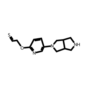 S=CCOc1ccc(N2CC3CNCC3C2)cn1